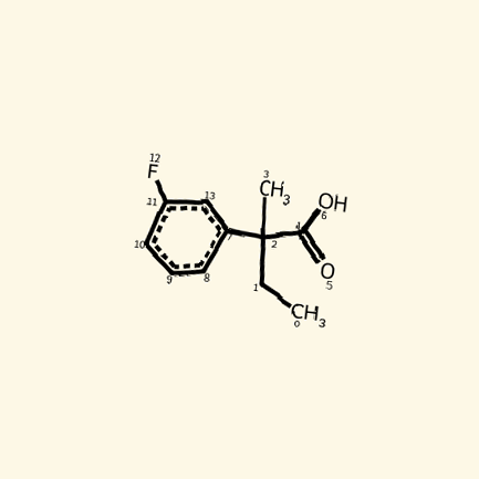 CCC(C)(C(=O)O)c1cccc(F)c1